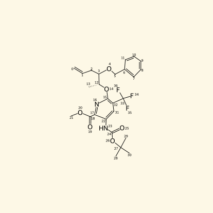 C=CCC(OCc1ccccc1)[C@@H](C)Oc1nc(C(=O)OC)c(NC(=O)OC(C)(C)C)cc1C(F)(F)F